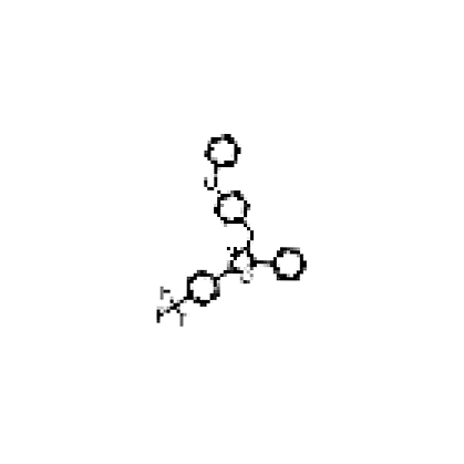 FC(F)(F)c1ccc(-c2nc(Cc3ccc(Oc4ccccc4)cc3)c(-c3ccccc3)o2)cc1